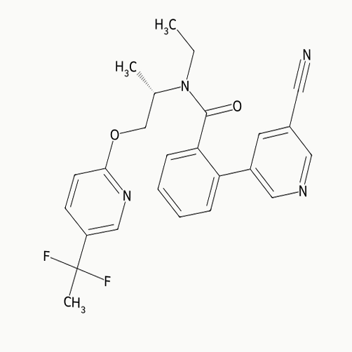 CCN(C(=O)c1ccccc1-c1cncc(C#N)c1)[C@@H](C)COc1ccc(C(C)(F)F)cn1